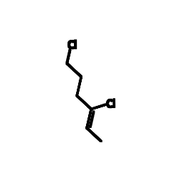 CC=C(Cl)CCCCl